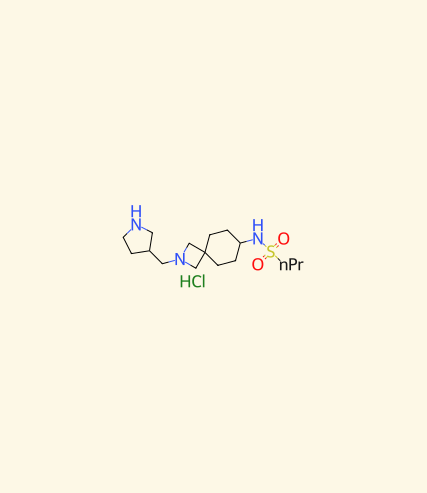 CCCS(=O)(=O)NC1CCC2(CC1)CN(CC1CCNC1)C2.Cl